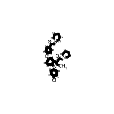 Cc1c(C(=O)CN2CCCCC2)c2cc(Oc3ccc(C(=O)CN4CCCCC4)cc3)ccc2n1-c1ccc(Cl)cc1